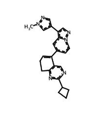 Cn1cc(-c2cnn3ccc(C4=CCCc5nc(C6CCC6)ncc54)cc23)cn1